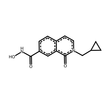 O=C(NO)c1ccc2ccn(CC3CC3)c(=O)c2c1